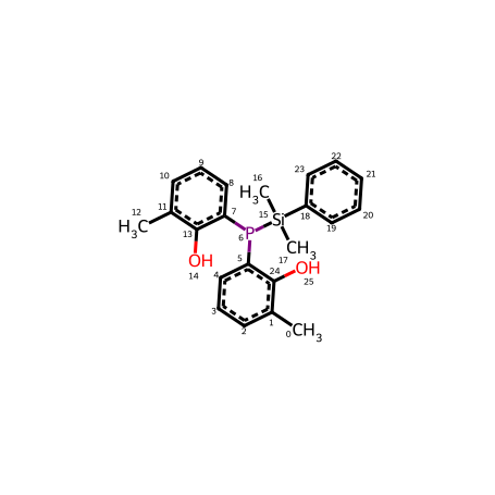 Cc1cccc(P(c2cccc(C)c2O)[Si](C)(C)c2ccccc2)c1O